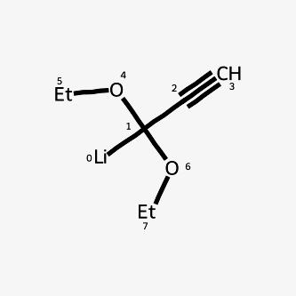 [Li][C](C#C)(OCC)OCC